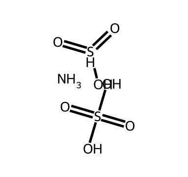 N.O=S(=O)(O)O.O=[SH](=O)O